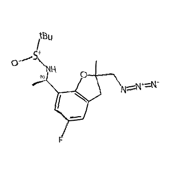 C[C@@H](N[S+]([O-])C(C)(C)C)c1cc(F)cc2c1OC(C)(CN=[N+]=[N-])C2